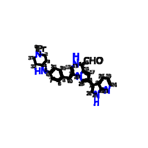 CC(C)N1CCC(Nc2ccc(CC3=CNC(C=O)c4cc(-c5c[nH]c6ncccc56)cn43)cc2)CC1